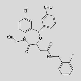 CC(C)(C)CN1C(=O)C(CC(=O)NCc2ccccc2F)OC(c2cccc(C=O)c2)c2cc(Cl)ccc21